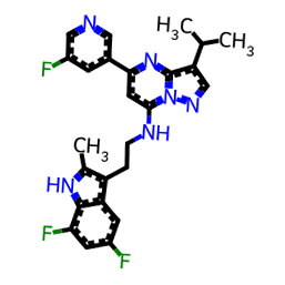 Cc1[nH]c2c(F)cc(F)cc2c1CCNc1cc(-c2cncc(F)c2)nc2c(C(C)C)cnn12